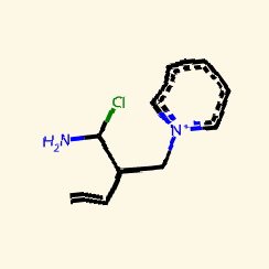 C=CC(C[n+]1ccccc1)C(N)Cl